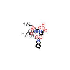 C=CCOC[C@H](NC(=O)OC(C)(C)C)C(=O)N1C[C@H](OC(=O)N2Cc3ccccc3C2)C[C@H]1C(=O)O